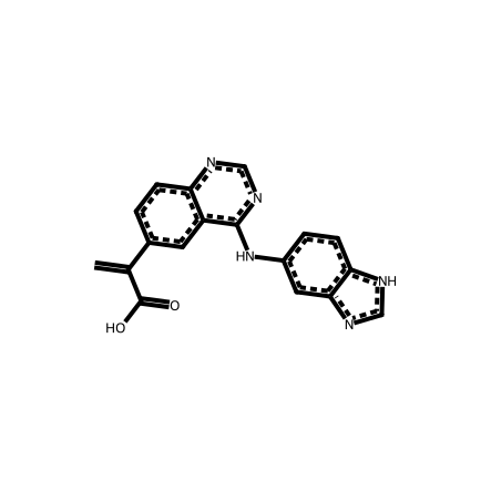 C=C(C(=O)O)c1ccc2ncnc(Nc3ccc4[nH]cnc4c3)c2c1